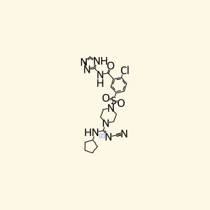 N#C/N=C(/NC1CCCC1)N1CCN(S(=O)(=O)c2ccc(Cl)c(C(=O)Nc3nnc[nH]3)c2)CC1